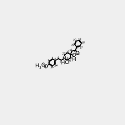 COc1ccc(CCN2CCC(O)(CC(=O)c3ccccc3)CC2)cc1.Cl